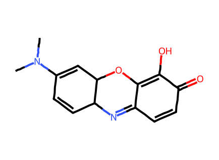 CN(C)C1=CC2OC3=C(O)C(=O)C=CC3=NC2C=C1